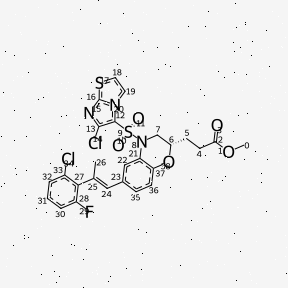 COC(=O)CC[C@H]1CN(S(=O)(=O)c2c(Cl)nc3sccn23)c2cc(C=C(C)c3c(F)cccc3Cl)ccc2O1